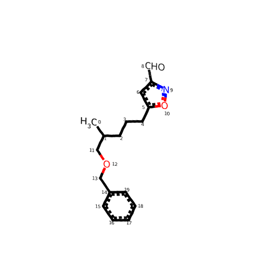 CC(CCCc1cc(C=O)no1)COCc1ccccc1